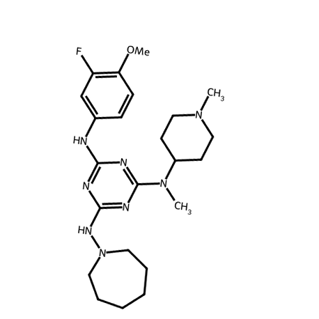 COc1ccc(Nc2nc(NN3CCCCCC3)nc(N(C)C3CCN(C)CC3)n2)cc1F